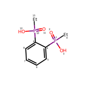 CCP(=O)(O)c1ccccc1P(=O)(O)CC